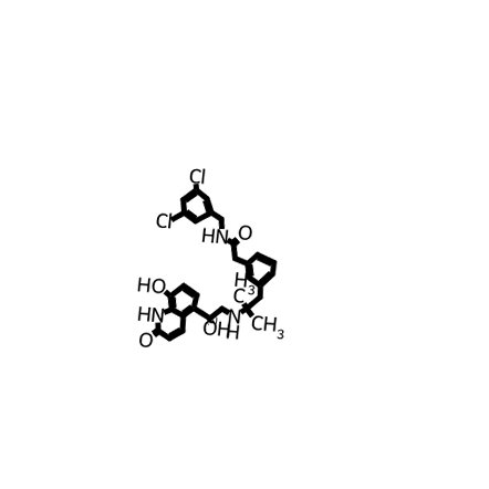 CC(C)(Cc1cccc(CC(=O)NCc2cc(Cl)cc(Cl)c2)c1)NC[C@@H](O)c1ccc(O)c2[nH]c(=O)ccc12